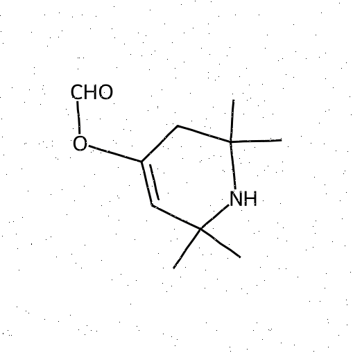 CC1(C)C=C(OC=O)CC(C)(C)N1